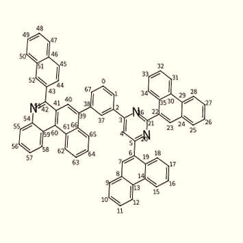 c1cc(-c2cc(-c3cc4ccccc4c4ccccc34)nc(-c3cc4ccccc4c4ccccc34)n2)cc(-c2cc3c(-c4ccc5ccccc5c4)nc4ccccc4c3c3ccccc23)c1